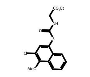 CCOC(=O)CNC(=O)Sc1cc(Cl)c(OC)c2ccccc12